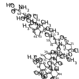 C#CC(C)Oc1cc(N2C(=O)C3=C(CCCC3)C2=O)c(F)cc1Cl.CC1COc2ccccc2N1C(=O)C(Cl)Cl.CCc1cccc(C)c1N(C(=O)CCl)C(C)COC.CP(=O)(O)CCC(N)C(=O)O.CS(=O)(=O)c1ccc(C(=O)C2C(=O)CCCC2=O)c([N+](=O)[O-])c1